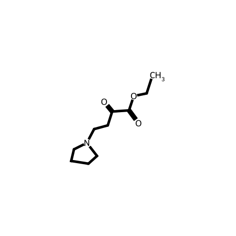 CCOC(=O)C(=O)CCN1CCCC1